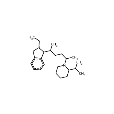 CCN1Cc2ccccc2C1C(C)CCC(C)N1CCCCC1C(C)C